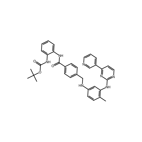 Cc1ccc(NCc2ccc(C(=O)Nc3ccccc3NC(=O)OC(C)(C)C)cc2)cc1Nc1nccc(-c2cccnc2)n1